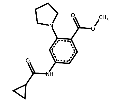 COC(=O)c1ccc(NC(=O)C2CC2)cc1N1CCCC1